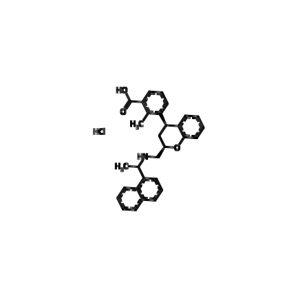 Cc1c(C(=O)O)cccc1[C@@H]1C[C@H](CNC(C)c2cccc3ccccc23)Oc2ccccc21.Cl